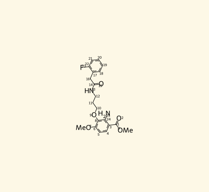 COC(=O)c1ccc(OC)c(OCCCNC(=O)Cc2ccccc2F)c1N